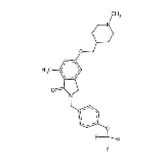 Cc1cc(OCC2CCN(C)CC2)cc2c1C(=O)N(Cc1ccc(OC(F)(F)F)cc1)C2